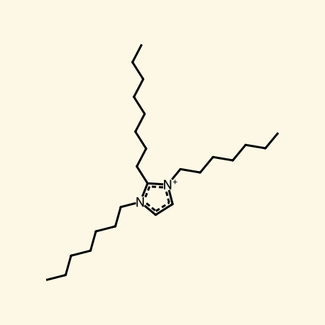 CCCCCCCCc1n(CCCCCCC)cc[n+]1CCCCCCC